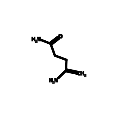 C=C(N)CCC(N)=O